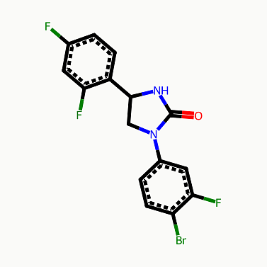 O=C1NC(c2ccc(F)cc2F)CN1c1ccc(Br)c(F)c1